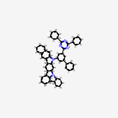 c1ccc(-c2cc(-c3nc(-c4ccccc4)nc(-c4ccccc4)n3)cc(-n3c4cc5ccccc5cc4c4cc5c6cccc7c8ccccc8n(c5cc43)c76)c2)cc1